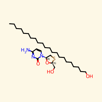 CCCCCCCCCCCCCCCCCCCCCCO.Nc1ccn([C@H]2CS[C@@H](CO)O2)c(=O)n1